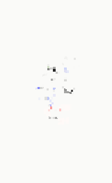 CC(c1ccccc1N(c1ccc(F)cc1)c1nn([C@@H]2O[C@H](C)[C@@H](O)[C@H]2O)c2ncncc12)N1CCCCC1